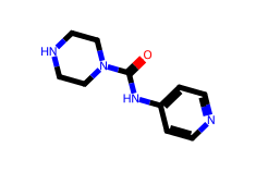 O=C(Nc1ccncc1)N1CCNCC1